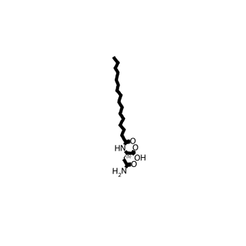 CCCCCCCCCCCCCCCC(=O)N[C@@H](CC(N)=O)C(=O)O